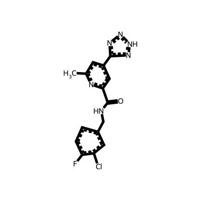 Cc1cc(-c2nn[nH]n2)cc(C(=O)NCc2ccc(F)c(Cl)c2)n1